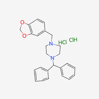 Cl.Cl.c1ccc(C(c2ccccc2)N2CCN(Cc3ccc4c(c3)OCO4)CC2)cc1